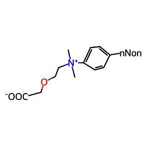 CCCCCCCCCc1ccc([N+](C)(C)CCOCC(=O)[O-])cc1